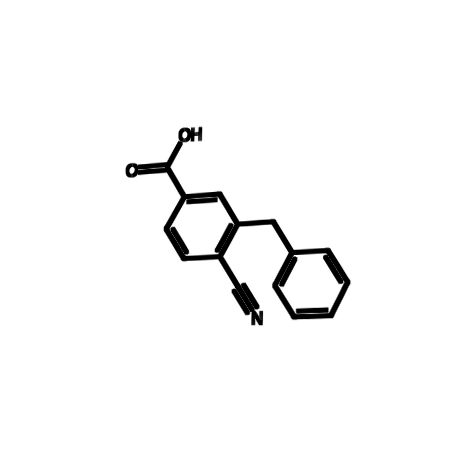 N#Cc1ccc(C(=O)O)cc1Cc1ccccc1